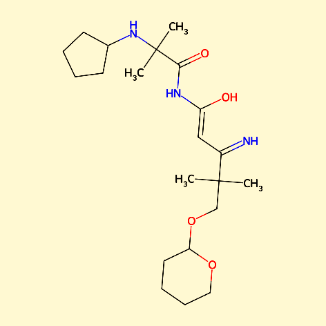 CC(C)(COC1CCCCO1)C(=N)/C=C(\O)NC(=O)C(C)(C)NC1CCCC1